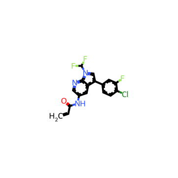 C=CC(=O)Nc1cnc2c(c1)c(-c1ccc(Cl)c(F)c1)cn2C(F)F